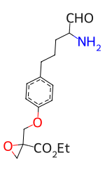 CCOC(=O)C1(COc2ccc(CCCC(N)C=O)cc2)CO1